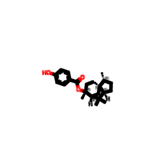 C[C@@H]1CC[C@H]2C(C)(C)[C@H]3C[C@@]12CC[C@@]3(C)OC(=O)c1ccc(O)cc1